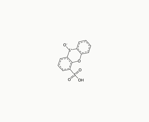 O=S(=O)(O)c1cccc2c1Oc1ccccc1[S+]2[O-]